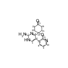 NC1N=C2C(=CN1)c1cccnc1OC21CCC(=O)CC1